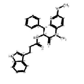 COc1ccc(N(C)C(=O)[C@H](Cc2ccccc2)NC(=O)CCc2c[nH]c3ccccc23)cn1